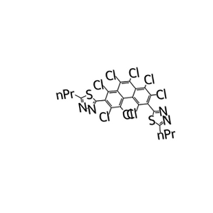 CCCc1nnc(-c2c(Cl)c(Cl)c3c(c2Cl)c(Cl)c(Cl)c2c(Cl)c(Cl)c(-c4nnc(CCC)s4)c(Cl)c23)s1